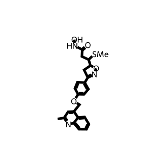 CSC(CC(=O)NO)C1CC(c2ccc(OCc3cc(C)nc4ccccc34)cc2)=NO1